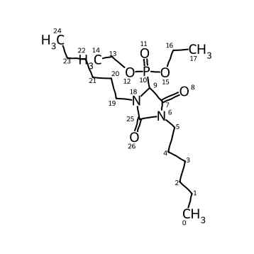 CCCCCCN1C(=O)C(P(=O)(OCC)OCC)N(CCCCCC)C1=O